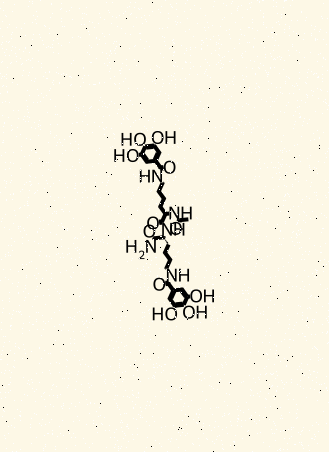 CC(=O)NC(CCCCNC(=O)c1cc(O)c(O)c(O)c1)C(=O)N[C@H](CCCCNC(=O)c1cc(O)c(O)c(O)c1)C(N)=O